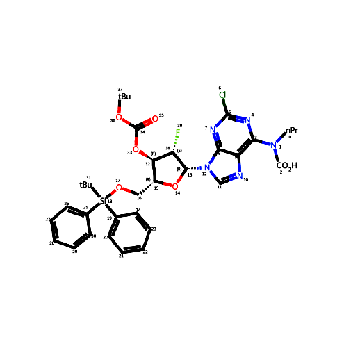 CCCN(C(=O)O)c1nc(Cl)nc2c1ncn2[C@@H]1O[C@H](CO[Si](c2ccccc2)(c2ccccc2)C(C)(C)C)[C@@H](OC(=O)OC(C)(C)C)[C@@H]1F